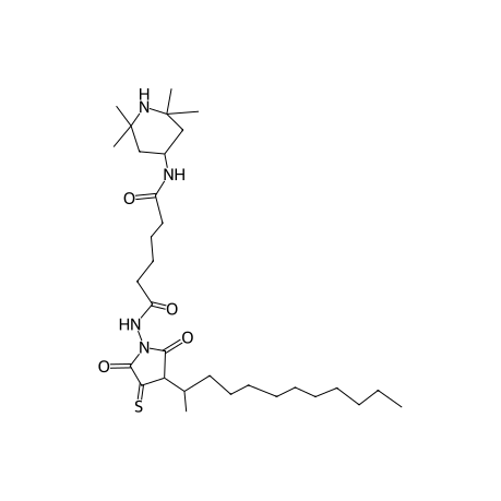 CCCCCCCCCCC(C)C1C(=O)N(NC(=O)CCCCC(=O)NC2CC(C)(C)NC(C)(C)C2)C(=O)C1=S